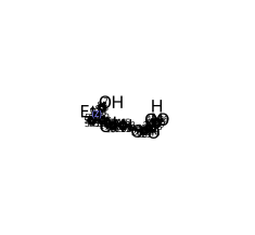 CC/C(=C(\c1ccc(O)cc1)c1ccc(Oc2ccc(N3CCN(CCCOc4ccc5c(c4)CN(C4CCC(=O)NC4=O)C5=O)CC3)cn2)cc1)c1ccccc1